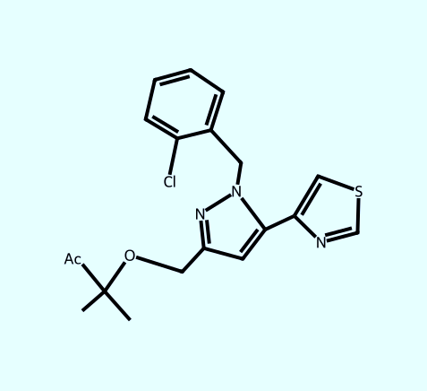 CC(=O)C(C)(C)OCc1cc(-c2cscn2)n(Cc2ccccc2Cl)n1